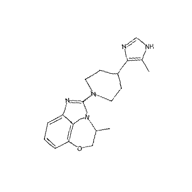 Cc1[nH]cnc1C1CCN(c2nc3cccc4c3n2C(C)CO4)CC1